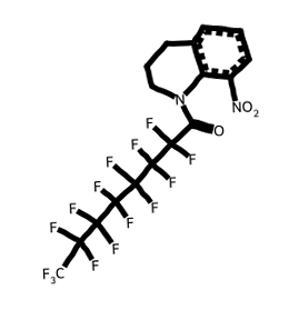 O=C(N1CCCc2cccc([N+](=O)[O-])c21)C(F)(F)C(F)(F)C(F)(F)C(F)(F)C(F)(F)C(F)(F)C(F)(F)F